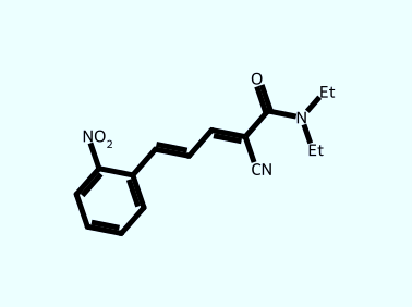 CCN(CC)C(=O)/C(C#N)=C/C=C/c1ccccc1[N+](=O)[O-]